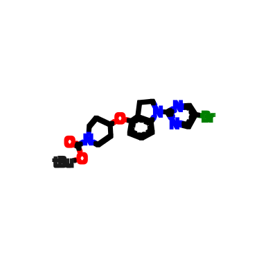 CC(C)(C)OC(=O)N1CCC(Oc2cccc3c2CCN3c2ncc(Br)cn2)CC1